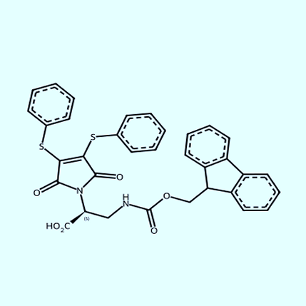 O=C(NC[C@@H](C(=O)O)N1C(=O)C(Sc2ccccc2)=C(Sc2ccccc2)C1=O)OCC1c2ccccc2-c2ccccc21